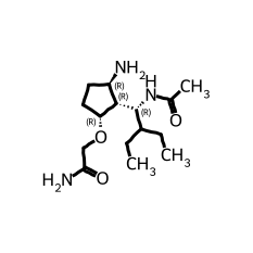 CCC(CC)[C@@H](NC(C)=O)[C@H]1[C@H](N)CC[C@H]1OCC(N)=O